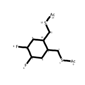 CC(=O)SCC1CC(F)C(F)CC1CSC(C)=O